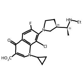 CCN[C@@H](C)[C@@H]1CCN(c2c(F)cc3c(=O)c(C(=O)O)cn(C4CC4)c3c2Cl)C1